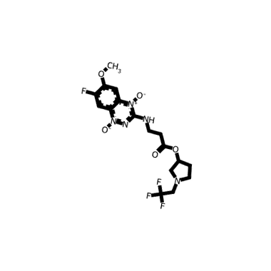 COc1cc2c(cc1F)[n+]([O-])nc(NCCC(=O)OC1CCN(CC(F)(F)F)C1)[n+]2[O-]